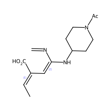 C=N/C(=C\C(=C/C)C(=O)O)NC1CCN(C(C)=O)CC1